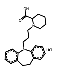 Cl.O=C(O)C1CCCCN1CCCN1c2ccccc2CCc2ccccc21